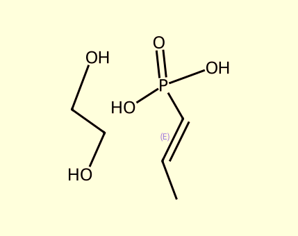 C/C=C/P(=O)(O)O.OCCO